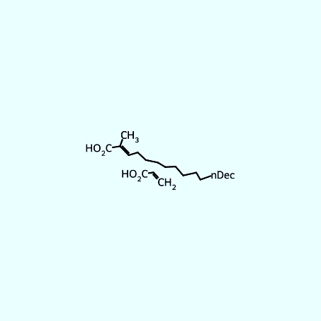 C=CC(=O)O.CCCCCCCCCCCCCCCCCC/C=C(\C)C(=O)O